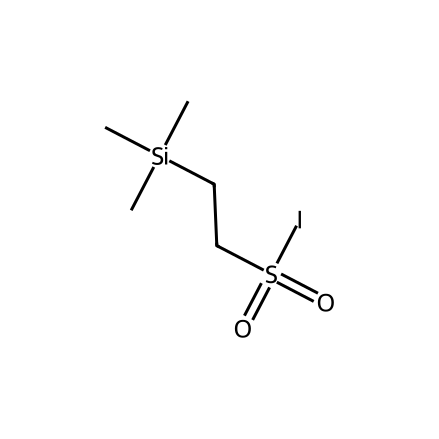 C[Si](C)(C)CCS(=O)(=O)I